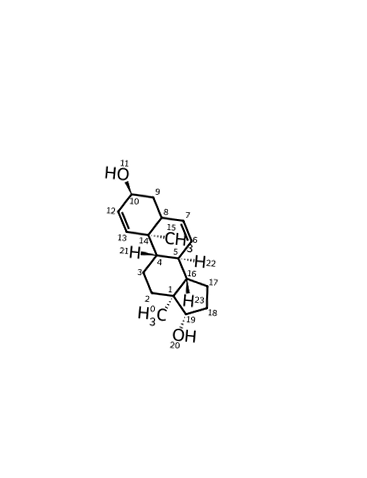 C[C@]12CC[C@H]3[C@@H](C=CC4C[C@H](O)C=C[C@@]43C)[C@@H]1CC[C@@H]2O